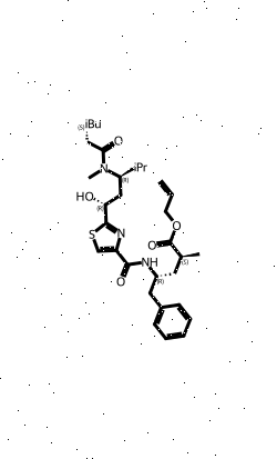 C=CCOC(=O)[C@@H](C)C[C@H](Cc1ccccc1)NC(=O)c1csc([C@H](O)C[C@H](C(C)C)N(C)C(=O)C[C@@H](C)CC)n1